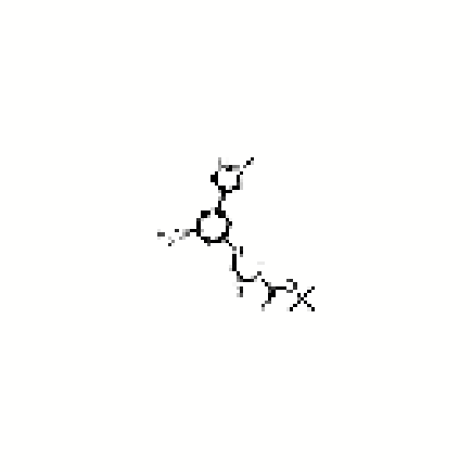 C[C@@H](COc1cc(N)cc(-c2cnn(C)c2)c1)NC(=O)OC(C)(C)C